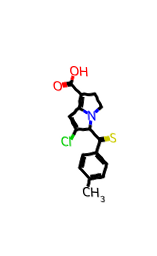 Cc1ccc(C(=S)C2C(Cl)=CC3=C(C(=O)O)CCN32)cc1